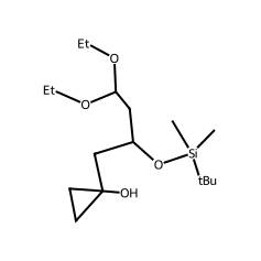 CCOC(CC(CC1(O)CC1)O[Si](C)(C)C(C)(C)C)OCC